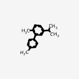 Cc1ccc(-c2cc(C(C)C)ccc2C)cc1